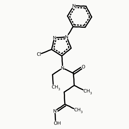 CCN(C(=O)C(C)C/C(C)=N/O)c1cn(-c2cccnc2)nc1Cl